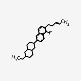 CC=CCCc1ccc2cc(C3CCC4CC(CC)CCC4C3)ccc2c1F